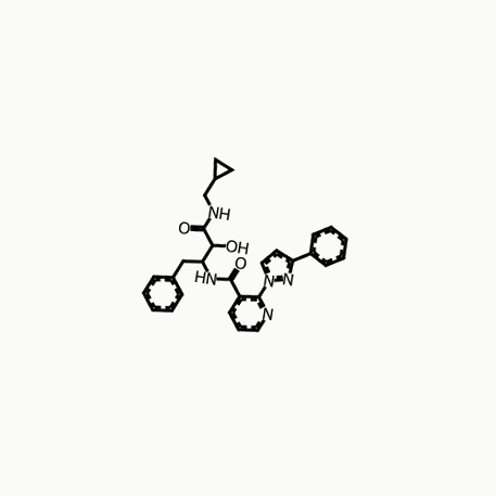 O=C(NC(Cc1ccccc1)C(O)C(=O)NCC1CC1)c1cccnc1-n1ccc(-c2ccccc2)n1